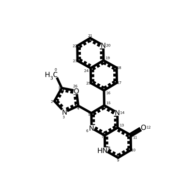 Cc1cnc(-c2nc3[nH]ccc(=O)c3nc2-c2ccc3ncccc3c2)o1